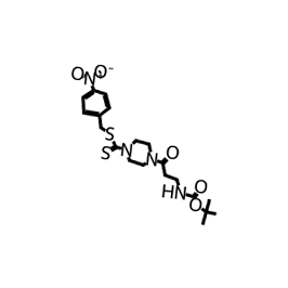 CC(C)(C)OC(=O)NCCC(=O)N1CCN(C(=S)SCc2ccc([N+](=O)[O-])cc2)CC1